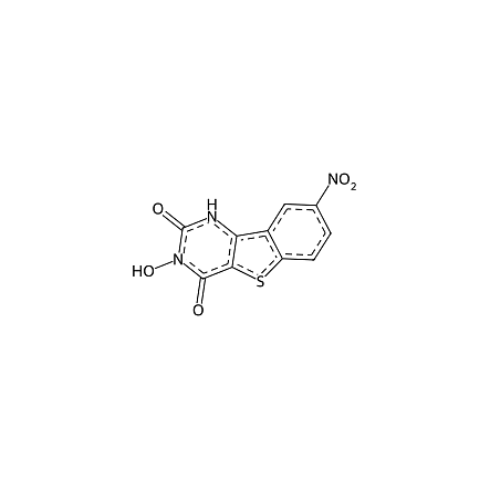 O=c1[nH]c2c(sc3ccc([N+](=O)[O-])cc32)c(=O)n1O